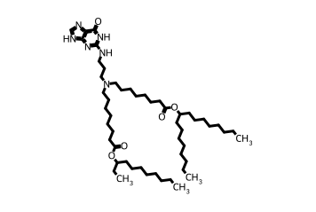 CCCCCCCCC(CC)OC(=O)CCCCCCCN(CCCCCCCC(=O)OC(CCCCCCCC)CCCCCCCC)CCCNc1nc2[nH]cnc2c(=O)[nH]1